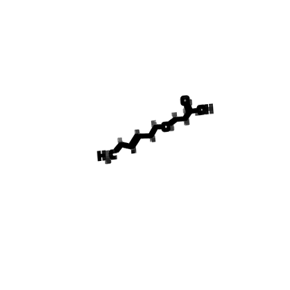 CCC=CCCOCCC(=O)O